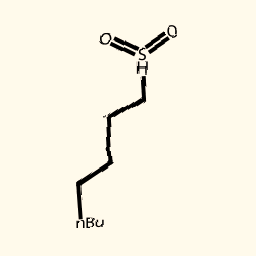 CCCCCC[CH]C[SH](=O)=O